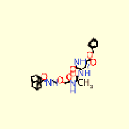 C[C@H](NC(=O)COCCNC(=O)C12CC3CC(CC(C3)C1)C2)C(=O)N[C@H](CCC(=O)OCc1ccccc1)C(N)=O